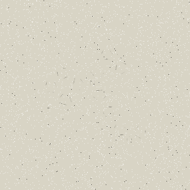 c1ccc(C2(c3ccccc3)c3ccccc3-c3cc(N(c4ccc(-c5ccc(-c6ccc7oc8ccccc8c7c6)cc5)cc4)c4ccc(-c5cccc6sc7ccccc7c56)cc4)ccc32)cc1